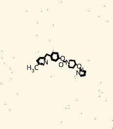 Cc1ccc(Cc2ccc(OC(=O)N3CCC(On4cccn4)CC3)cc2)nc1